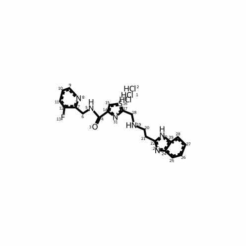 Cl.Cl.Cl.O=C(NCc1ncccc1F)c1csc(CNCCc2nc3ccccc3[nH]2)n1